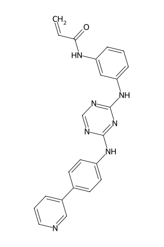 C=CC(=O)Nc1cccc(Nc2ncnc(Nc3ccc(-c4cccnc4)cc3)n2)c1